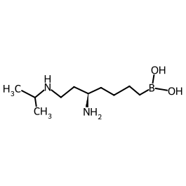 CC(C)NCC[C@H](N)CCCCB(O)O